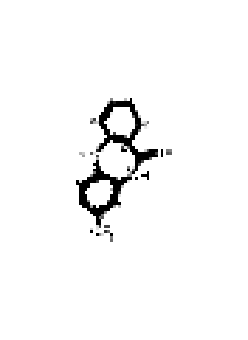 O=C1Nc2cc(C(F)(F)F)ccc2OC2=C1CCC=C2